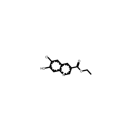 CCOC(=O)c1cnc2cc(O)c(Cl)cc2c1